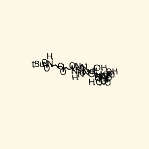 CC(C)(C)OC(=O)NCCCOC(=O)CCC(=O)Nc1ncnc2c1ncn2[C@H]1C[C@@H](O)C(COP(=O)(O)OP(=O)(O)OP(=O)(O)O)O1